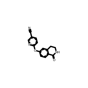 N#Cc1ccc(Oc2ccc3c(c2)CCNC3=O)nc1